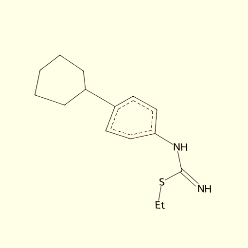 CCSC(=N)Nc1ccc(C2CCCCC2)cc1